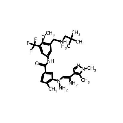 COc1c(CNCC(C)(C)C)cc(NC(=O)c2ccc(C)c(N(N)/C=C(\N)c3cnn(C)c3C)c2)cc1C(F)(F)F